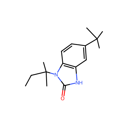 CCC(C)(C)n1c(=O)[nH]c2cc(C(C)(C)C)ccc21